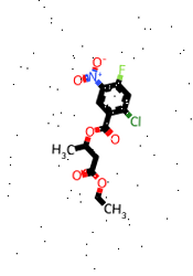 CCOC(=O)CC(C)OC(=O)c1cc([N+](=O)[O-])c(F)cc1Cl